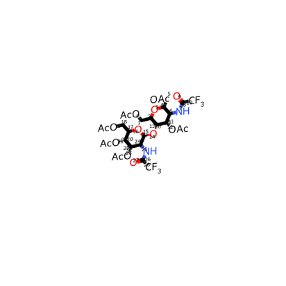 CC(=O)OCC1OC(OC(C)=O)C(NC(=O)C(F)(F)F)[C@@H](OC(C)=O)[C@@H]1O[C@@H]1OC(COC(C)=O)[C@@H](OC(C)=O)[C@H](OC(C)=O)C1NC(=O)C(F)(F)F